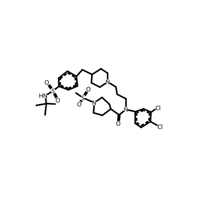 CC(C)(C)NS(=O)(=O)c1ccc(CC2CCN(CCCN(C(=O)C3CCN(S(C)(=O)=O)CC3)c3ccc(Cl)c(Cl)c3)CC2)cc1